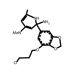 CNC1=CC(N)(c2cc(OCCCCl)c3c(c2)OCO3)NC(C)=C1